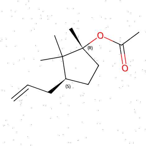 C=CC[C@@H]1CC[C@@](C)(OC(C)=O)C1(C)C